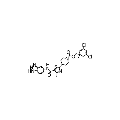 Cc1nc(C2CCN(C(=O)OCC3(C)C=C(Cl)C=C(Cl)C3)CC2)sc1C(=O)Nc1ccc2[nH]nnc2c1